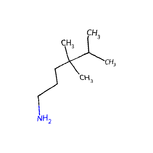 CC(C)C(C)(C)CCCN